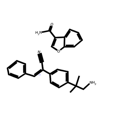 CC(C)(CN)c1ccc(/C(C#N)=C/c2ccccc2)cc1.NC(=O)c1coc2ccccc12